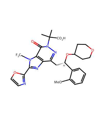 COc1ccccc1[C@H](Cc1nn(C(C)(C)C(=O)O)c(=O)c2c1nc(-c1ncco1)n2C(F)(F)F)OC1CCOCC1